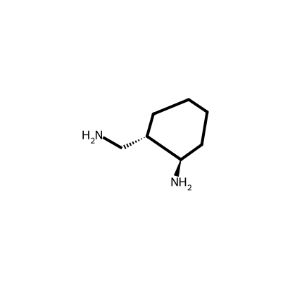 NC[C@@H]1CCCC[C@H]1N